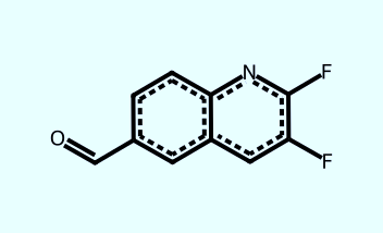 O=Cc1ccc2nc(F)c(F)cc2c1